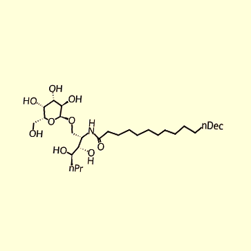 CCCCCCCCCCCCCCCCCCCCC(=O)N[C@@H](CO[C@H]1O[C@H](CO)[C@H](O)[C@H](O)[C@H]1O)[C@H](O)[C@H](O)CCC